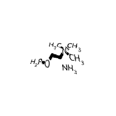 C[N+](C)(C)CCOP.N